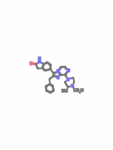 CC(C)(C)C1CN(c2nccn3c(-c4ccc5c(c4)CC(=O)N5)c(Cc4ccccc4)nc23)CCN1C(=O)O